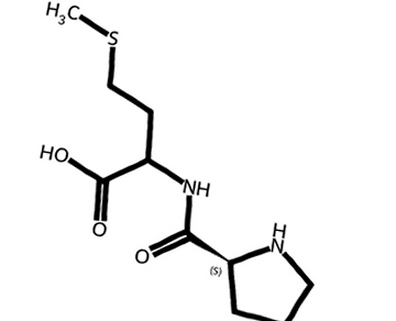 CSCCC(NC(=O)[C@@H]1CCCN1)C(=O)O